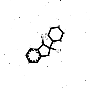 NC1c2ccccc2CC1(O)C1CCCCC1